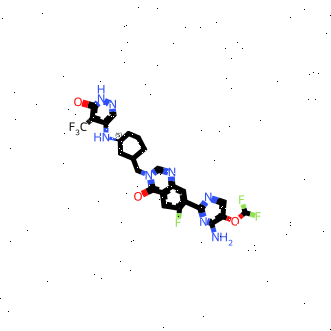 Nc1nc(-c2cc3ncn(CC4CCC[C@H](Nc5cn[nH]c(=O)c5C(F)(F)F)C4)c(=O)c3cc2F)ncc1OC(F)F